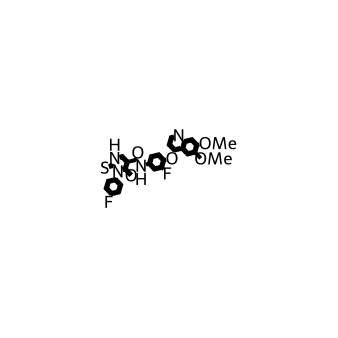 COc1cc2nccc(Oc3ccc(NC(=O)c4c[nH]c(=S)n(-c5ccc(F)cc5)c4=O)cc3F)c2cc1OC